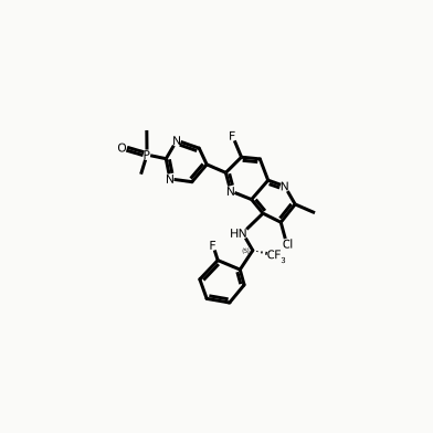 Cc1nc2cc(F)c(-c3cnc(P(C)(C)=O)nc3)nc2c(N[C@@H](c2ccccc2F)C(F)(F)F)c1Cl